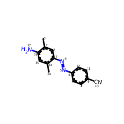 Cc1cc(/N=N/c2ccc(C#N)cc2)c(C)cc1N